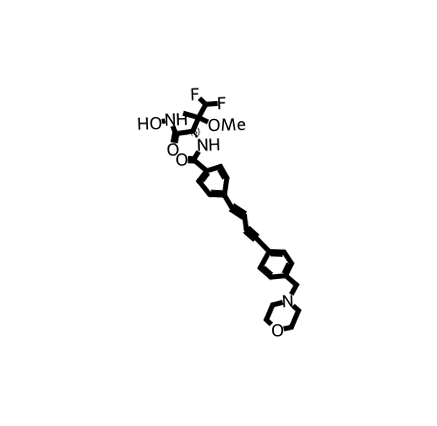 COC(C)(C(F)F)[C@H](NC(=O)c1ccc(C#CC#Cc2ccc(CN3CCOCC3)cc2)cc1)C(=O)NO